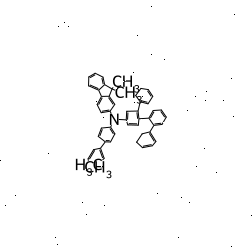 C/C=C\C(=C/C)c1ccc(N(c2ccc(-c3ccccc3C3=CC=CCC3)c(C3=CC=CCC3)c2)c2ccc3c(c2)C(C)(C)c2ccccc2-3)cc1